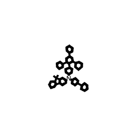 CC1(C)c2ccccc2-c2ccc(N(c3ccc(-c4ccccc4)cc3)c3ccc(-c4c(-c5ccccc5)cc(-c5ccccc5)cc4-c4ccccc4)cc3)cc21